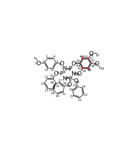 COc1ccc(ON2P(Oc3ccccc3)N=P(Oc3ccccc3)(Oc3ccccc3)N(Oc3ccc(OC)cc3)P2Oc2ccc(OC)cc2)cc1